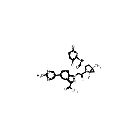 CC(=O)c1nn(CC(=O)N2[C@H](C(=O)Nc3nc(Br)ccc3Cl)C[C@@]3(C)C[C@@H]23)c2ccc(-c3cnc(C)nc3)cc12